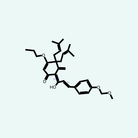 C=C1/C(=C(O)\C=C\c2ccc(OCOC)cc2)C(=O)C=C(OCCC)C1(CC=C(C)C)CC=C(C)C